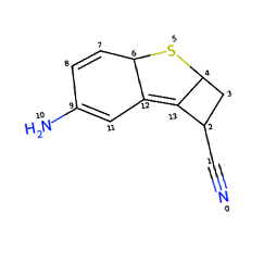 N#CC1CC2SC3C=CC(N)=CC3=C12